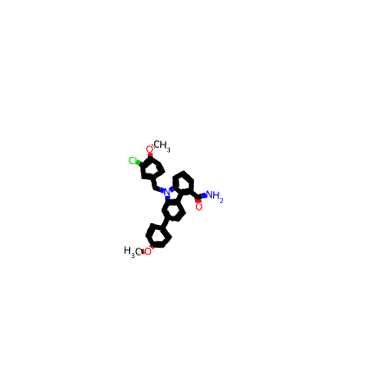 COc1ccc(-c2c[c]c3c4c(C(N)=O)cccc4n(Cc4ccc(OC)c(Cl)c4)c3c2)cc1